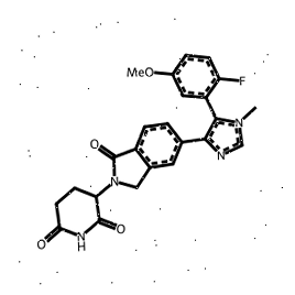 COc1ccc(F)c(-c2c(-c3ccc4c(c3)CN(C3CCC(=O)NC3=O)C4=O)ncn2C)c1